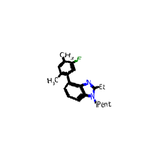 CCCC(C)n1c(CC)nc2c(-c3cc(F)c(C)cc3C)cccc21